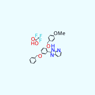 COc1ccc(COc2ccc(OCc3ccccc3)cc2-c2nc3cccnc3[nH]2)cc1.O=C(O)C(F)(F)F